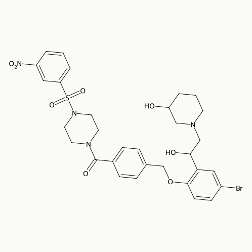 O=C(c1ccc(COc2ccc(Br)cc2C(O)CN2CCCC(O)C2)cc1)N1CCN(S(=O)(=O)c2cccc([N+](=O)[O-])c2)CC1